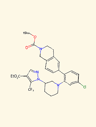 CCOC(=O)c1cnn(C2CCCN(c3cc(Cl)ccc3-c3ccc4c(c3)CCN(C(=O)OC(C)(C)C)C4)C2)c1C(F)(F)F